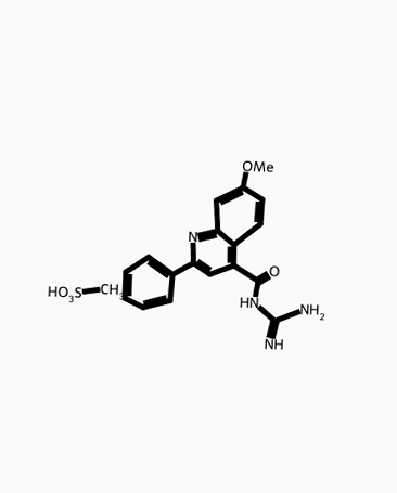 COc1ccc2c(C(=O)NC(=N)N)cc(-c3ccccc3)nc2c1.CS(=O)(=O)O